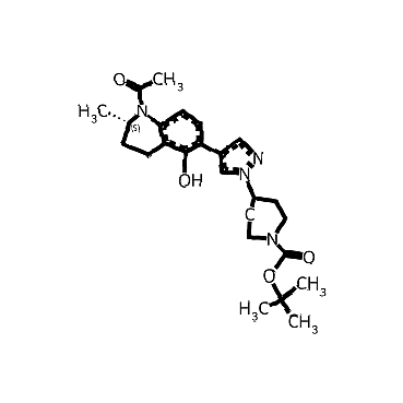 CC(=O)N1c2ccc(-c3cnn(C4CCN(C(=O)OC(C)(C)C)CC4)c3)c(O)c2CC[C@@H]1C